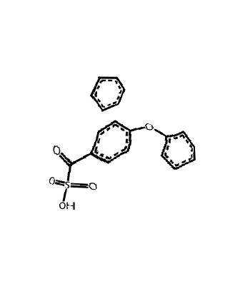 O=C(c1ccc(Oc2ccccc2)cc1)S(=O)(=O)O.c1ccccc1